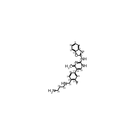 C=C1N=C(Nc2nc3ccccc3o2)NC=C1c1ccc(CNCCCN)c(F)c1